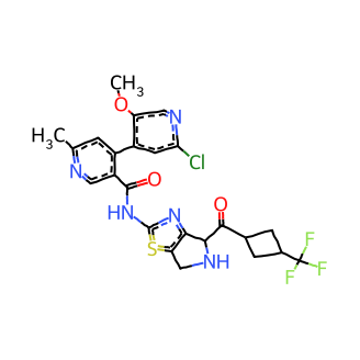 COc1cnc(Cl)cc1-c1cc(C)ncc1C(=O)Nc1nc2c(s1)CNC2C(=O)C1CC(C(F)(F)F)C1